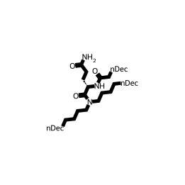 CCCCCCCCCCCCCCN(CCCCCCCCCCCCCC)C(=O)[C@H](CCC(N)=O)NC(=O)CCCCCCCCCCC